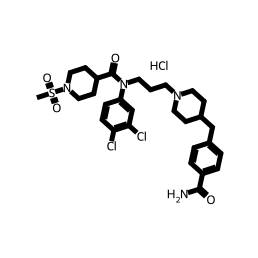 CS(=O)(=O)N1CCC(C(=O)N(CCCN2CCC(Cc3ccc(C(N)=O)cc3)CC2)c2ccc(Cl)c(Cl)c2)CC1.Cl